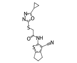 N#Cc1c(NC(=O)CSc2nnc(C3CC3)o2)sc2c1CCC2